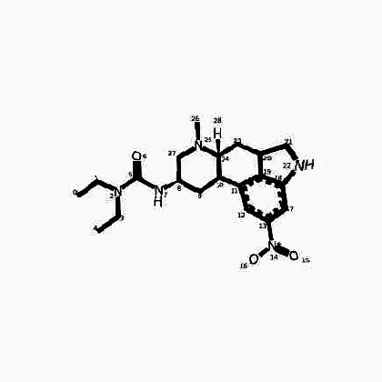 CCN(CC)C(=O)N[C@@H]1CC2c3cc([N+](=O)[O-])cc4c3C(CN4)C[C@H]2N(C)C1